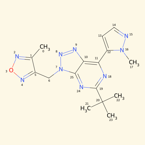 Cc1nonc1Cn1nnc2c(-c3ccnn3C)nc(C(C)(C)C)nc21